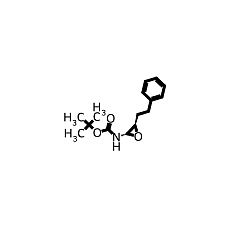 CC(C)(C)OC(=O)N[C@H]1O[C@@H]1CCc1ccccc1